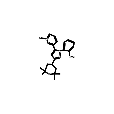 COc1ccccc1-n1nc(C2CC(C)(C)OC(C)(C)C2)cc1-c1ccc[n+]([O-])c1